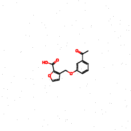 CC(=O)c1cccc(OCc2ccoc2C(=O)O)c1